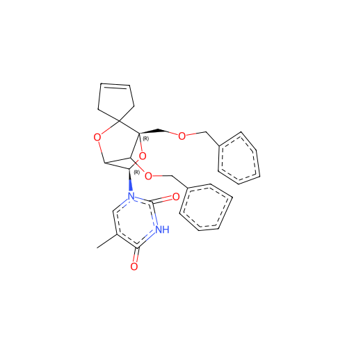 Cc1cn([C@@H]2O[C@]3(COCc4ccccc4)C(OCc4ccccc4)C2OC32CC=CC2)c(=O)[nH]c1=O